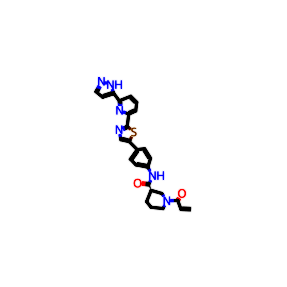 C=CC(=O)N1CCC[C@H](C(=O)Nc2ccc(-c3cnc(-c4cccc(-c5ccn[nH]5)n4)s3)cc2)C1